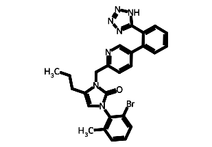 CCCc1cn(-c2c(C)cccc2Br)c(=O)n1Cc1ccc(-c2ccccc2-c2nnn[nH]2)cn1